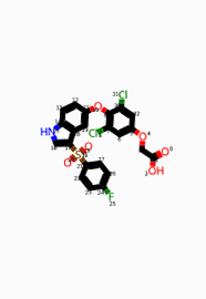 O=C(O)COc1cc(Cl)c(Oc2ccc3[nH]cc(S(=O)(=O)c4ccc(F)cc4)c3c2)c(Cl)c1